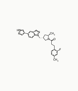 Cc1ccc(CCC(=O)N2C[C@H](Cn3ncc4cc(-c5cn[nH]c5)ccc43)C[C@H]2C)c(F)c1